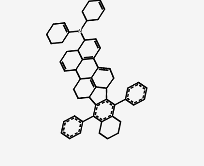 C1=CCC(N(C2=CCCCC2)C2C=CC3=C4C(C=CCC42)C2CCC4C5=C2C3=CCC5c2c(-c3ccccc3)c3c(c(-c5ccccc5)c24)CCCC3)CC1